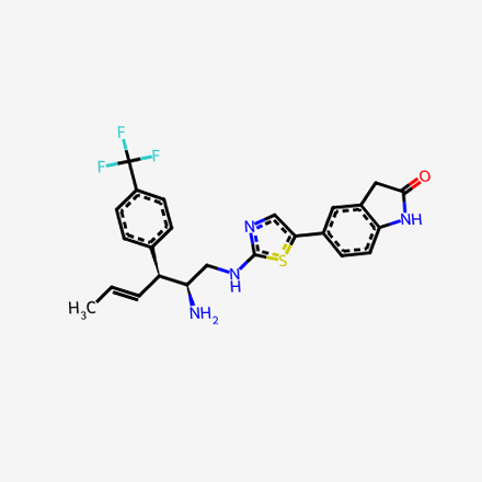 C/C=C/[C@@H](c1ccc(C(F)(F)F)cc1)[C@H](N)CNc1ncc(-c2ccc3c(c2)CC(=O)N3)s1